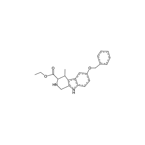 CCOC(=O)C1NCc2[nH]c3ccc(OCc4ccccc4)cc3c2C1C